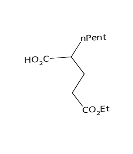 CCCCCC(CCC(=O)OCC)C(=O)O